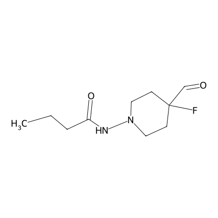 CCCC(=O)NN1CCC(F)(C=O)CC1